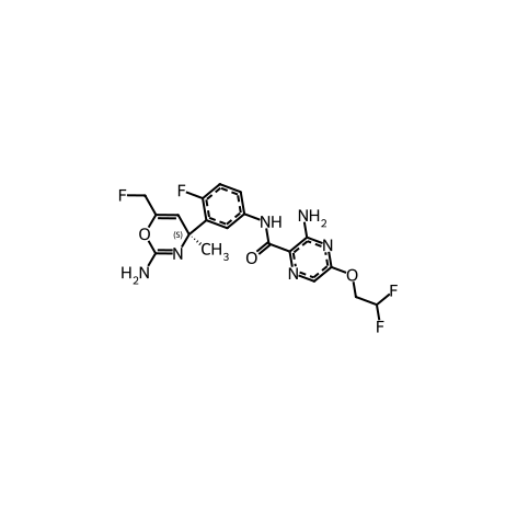 C[C@@]1(c2cc(NC(=O)c3ncc(OCC(F)F)nc3N)ccc2F)C=C(CF)OC(N)=N1